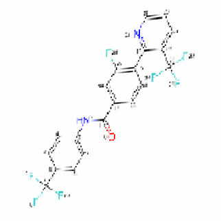 O=C(Nc1ccc(C(F)(F)F)cc1)c1ccc(-c2ncccc2C(F)(F)F)c(F)c1